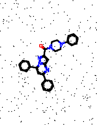 O=C(c1cc2nc(-c3ccccc3)cc(-c3ccccc3)n2n1)N1CCN(c2ccccc2)CC1